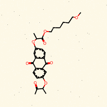 COCCCCCCOC(=O)C(C)Oc1ccc2c(c1)C(=O)c1ccc(OC(C)C(C)=O)cc1C2=O